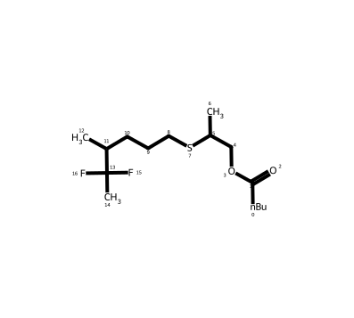 CCCCC(=O)OCC(C)SCCCC(C)C(C)(F)F